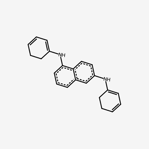 C1=CCCC(Nc2ccc3c(NC4=CC=CCC4)cccc3c2)=C1